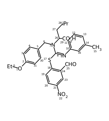 CCOc1ccc(CN(/C(=N\c2cccc(C)c2)Sc2ccc([N+](=O)[O-])cc2C=O)C(CC(C)C)C(=O)O)cc1